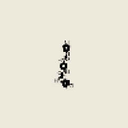 O=C(COc1ccc(Cl)cc1)N[C@H]1CC[C@H](NC(=O)C2CNc3ccc(Cl)cc3O2)CC1